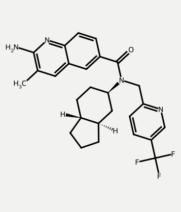 Cc1cc2cc(C(=O)N(Cc3ccc(C(F)(F)F)cn3)[C@@H]3CC[C@H]4CCC[C@@H]4C3)ccc2nc1N